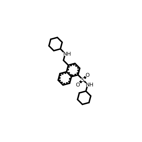 O=S(=O)(NC1CCCCC1)c1ccc(CNC2CCCCC2)c2ccccc12